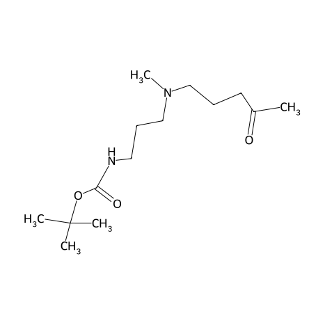 CC(=O)CCCN(C)CCCNC(=O)OC(C)(C)C